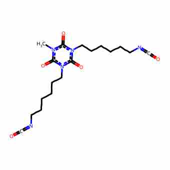 Cn1c(=O)n(CCCCCCN=C=O)c(=O)n(CCCCCCN=C=O)c1=O